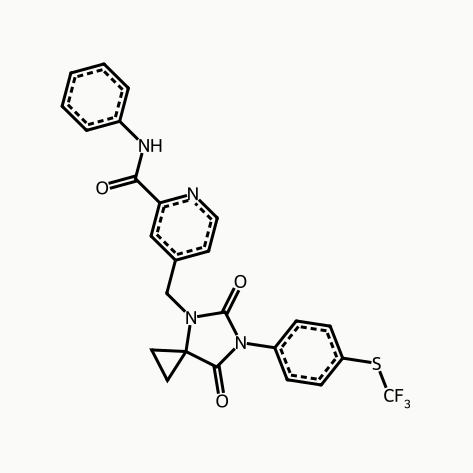 O=C(Nc1ccccc1)c1cc(CN2C(=O)N(c3ccc(SC(F)(F)F)cc3)C(=O)C23CC3)ccn1